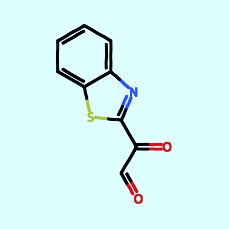 O=CC(=O)c1nc2ccccc2s1